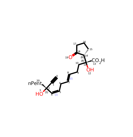 C#C[C@@](O)(/C=C\C/C=C/CC[C@](O)(C(=O)O)[C@H]1CCCC1=O)CCCCC